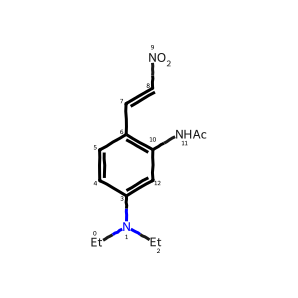 CCN(CC)c1ccc(C=C[N+](=O)[O-])c(NC(C)=O)c1